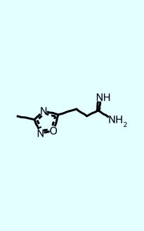 Cc1noc(CCC(=N)N)n1